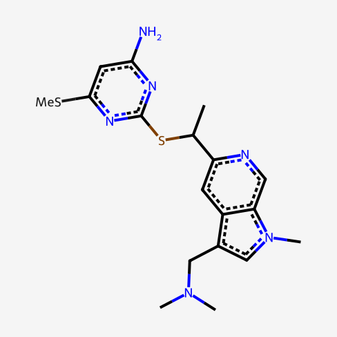 CSc1cc(N)nc(SC(C)c2cc3c(CN(C)C)cn(C)c3cn2)n1